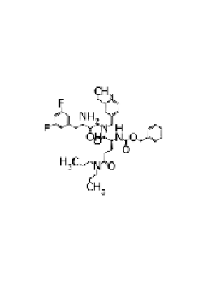 CCCN(CCC)C(=O)CC[C@H](NC(=O)OCc1ccccc1)C(=O)N(Cc1cccc(CC)c1)C[C@@H](O)[C@@H](N)Cc1cc(F)cc(F)c1